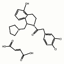 O=C(Cc1ccc(Cl)c(Cl)c1)N1CCc2c(O)cccc2C1CN1CCCC1.O=C(O)C=CC(=O)O